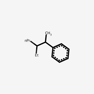 [CH2]CCC(CC)C(C)c1ccccc1